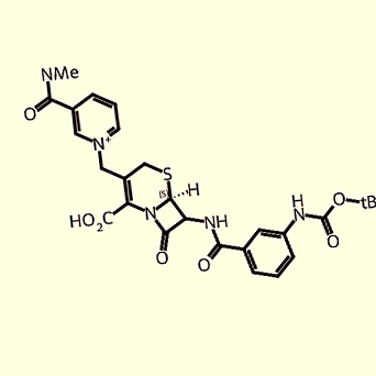 CNC(=O)c1ccc[n+](CC2=C(C(=O)O)N3C(=O)C(NC(=O)c4cccc(NC(=O)OC(C)(C)C)c4)[C@@H]3SC2)c1